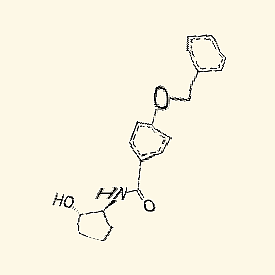 O=C(N[C@H]1CCC[C@@H]1O)c1ccc(OCc2ccccc2)cc1